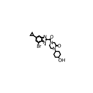 Cn1c(C(=O)N2CCN(C3CCC(O)CC3)C(=O)C2)nc2cc(C3CC3)cc(Br)c21